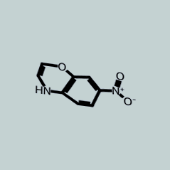 O=[N+]([O-])c1ccc2c(c1)OC=CN2